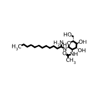 CCCCCCCCCCCC(N)N[C@@H]1O[C@H](CO)[C@@H](O)[C@H](O)[C@H]1NC(C)=O